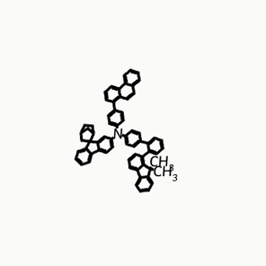 CC1(C)c2ccccc2-c2cccc(-c3ccccc3-c3ccc(N(c4ccc(-c5cccc6c5ccc5ccccc56)cc4)c4ccc5c(c4)C4(CC6CCC4C6)c4ccccc4-5)cc3)c21